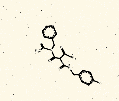 CC(=S)N(Cc1ccccc1)C(=O)C(C(N)=O)C(=S)NCc1ccc(Cl)cc1